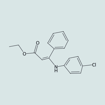 CCOC(=O)C=C(Nc1ccc(Cl)cc1)c1ccccc1